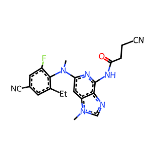 CCc1cc(C#N)cc(F)c1N(C)c1cc2c(ncn2C)c(NC(=O)CCC#N)n1